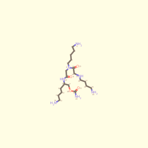 NCCCCCN(CC(=O)NC(CCCCN)COC(N)=O)C(=O)CNCCCCN